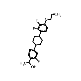 C=CCOc1ccc(C2CCC(c3ccc(C(C)O)c(F)c3)CC2)c(F)c1F